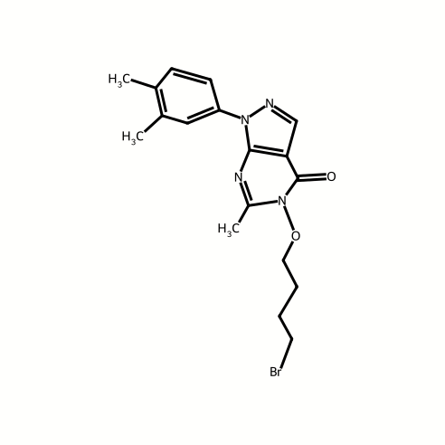 Cc1ccc(-n2ncc3c(=O)n(OCCCCBr)c(C)nc32)cc1C